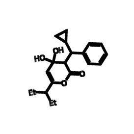 CCC(CC)C1=CC(O)(O)C(C(c2ccccc2)C2CC2)C(=O)O1